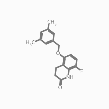 Cc1cc(C)cc(COc2ccc(F)c3c2CCC(=O)N3)c1